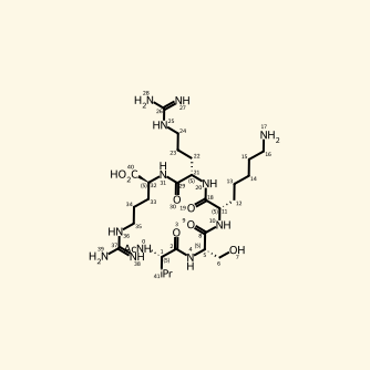 CC(=O)N[C@H](C(=O)N[C@@H](CO)C(=O)N[C@@H](CCCCCN)C(=O)N[C@@H](CCCNC(=N)N)C(=O)N[C@@H](CCCNC(=N)N)C(=O)O)C(C)C